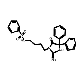 N=C1NC(c2ccccc2)(c2ccccc2)C(=O)N1CCCCNS(=O)(=O)c1ccccc1